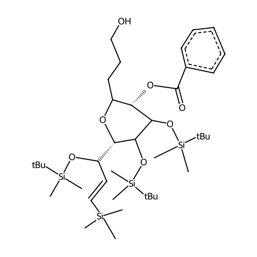 CC(C)(C)[Si](C)(C)OC(/C=C/[Si](C)(C)C)[C@@H]1OC(CCCO)[C@H](OC(=O)c2ccccc2)C(O[Si](C)(C)C(C)(C)C)C1O[Si](C)(C)C(C)(C)C